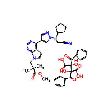 COC(=O)C(C)(C)Cn1ccc2c(-c3cnn([C@H](CC#N)C4CCCC4)c3)ncnc21.O=C(O)C(O)(C(=O)c1ccccc1)C(O)(C(=O)O)C(=O)c1ccccc1